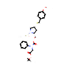 COc1ccc(CS[C@@H]2C[C@@H](COC(=O)N(CC(=O)OC(C)(C)C)c3ccccc3)N(S(C)(=O)=O)C2)cc1